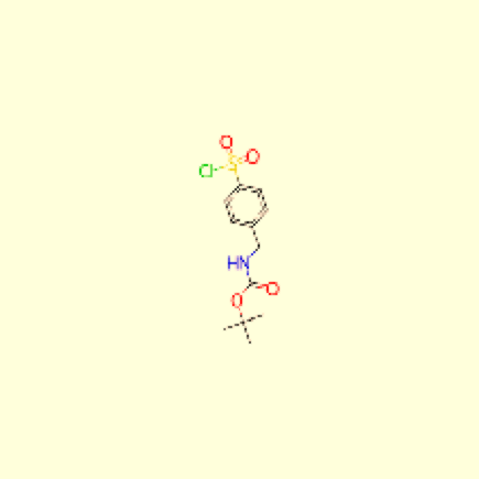 CC(C)(C)OC(=O)NCc1ccc(S(=O)(=O)Cl)cc1